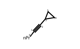 CCCC#CC1[CH]C1